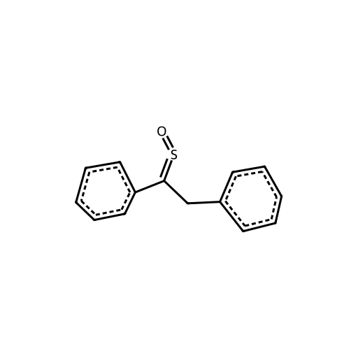 O=S=C(Cc1ccccc1)c1ccccc1